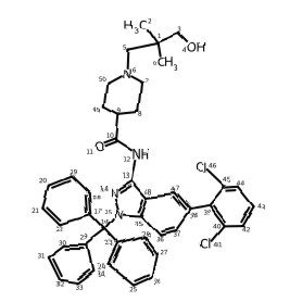 CC(C)(CO)CN1CCC(C(=O)Nc2nn(C(c3ccccc3)(c3ccccc3)c3ccccc3)c3ccc(-c4c(Cl)cccc4Cl)cc23)CC1